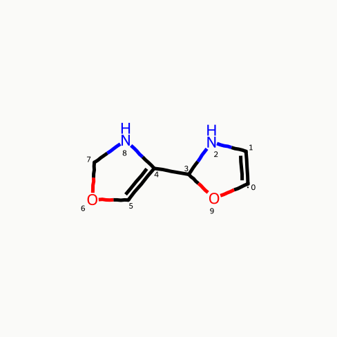 [C]1=CNC(C2=COCN2)O1